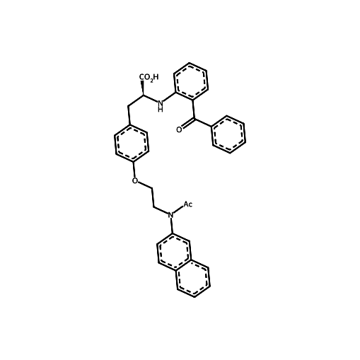 CC(=O)N(CCOc1ccc(C[C@H](Nc2ccccc2C(=O)c2ccccc2)C(=O)O)cc1)c1ccc2ccccc2c1